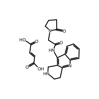 O=C(CN1CCCC1=O)Nc1c2c(nc3ccccc13)CCNC2.O=C(O)C=CC(=O)O